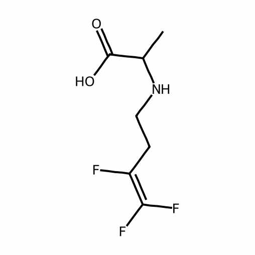 CC(NCCC(F)=C(F)F)C(=O)O